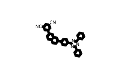 N#Cc1cc(C#N)cc(-c2ccc3ccc(-c4ccc(-c5nc(-c6ccccc6)nc(-c6ccccc6)n5)cc4)cc3c2)c1